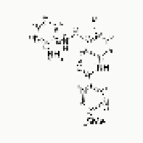 CSc1cnc(C(=O)Nc2ccc(F)c(CNc3cccnc3N)c2)cn1